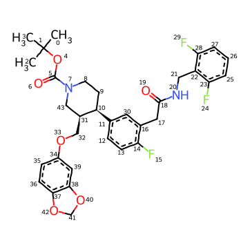 CC(C)(C)OC(=O)N1CC[C@@H](c2ccc(F)c(CC(=O)NCc3c(F)cccc3F)c2)[C@@H](COc2ccc3c(c2)OCO3)C1